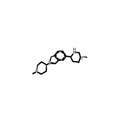 C[C@H]1CCC(c2ccc3c(c2)CN(C2CCN(C)CC2)C3)NC1